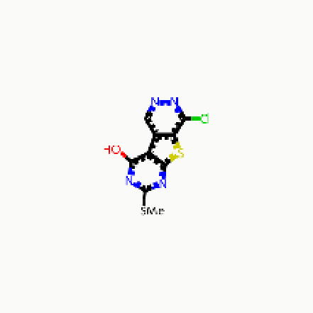 CSc1nc(O)c2c(n1)sc1c(Cl)nncc12